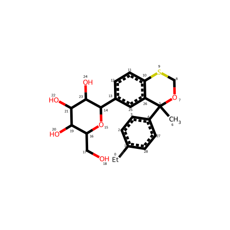 CCc1ccc(C2(C)OCSc3ccc(C4OC(CO)C(O)C(O)C4O)cc32)cc1